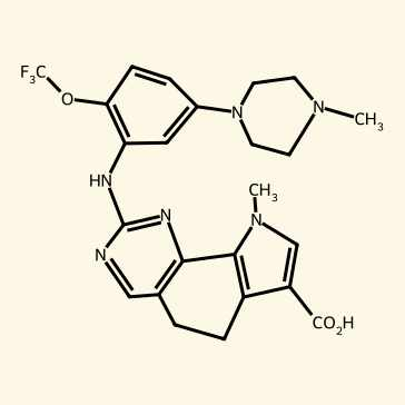 CN1CCN(c2ccc(OC(F)(F)F)c(Nc3ncc4c(n3)-c3c(c(C(=O)O)cn3C)CC4)c2)CC1